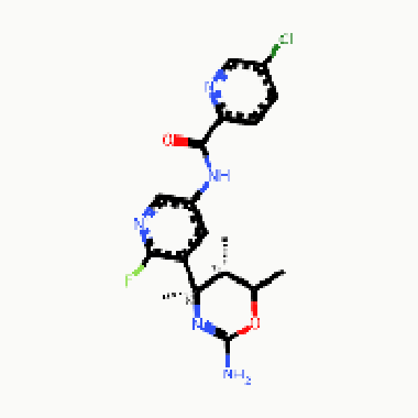 CC1OC(N)=N[C@@](C)(c2cc(NC(=O)c3ccc(Cl)cn3)cnc2F)[C@@H]1C